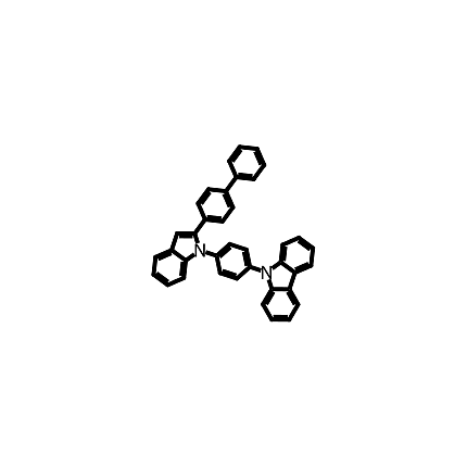 c1ccc(-c2ccc(-c3cc4ccccc4n3-c3ccc(-n4c5ccccc5c5ccccc54)cc3)cc2)cc1